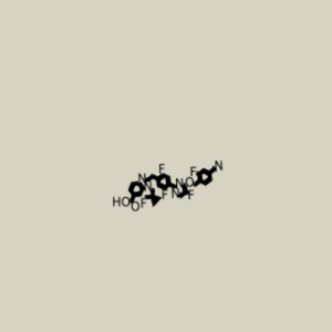 N#Cc1ccc(COc2nc(-c3cc(F)c(Cc4nc5ccc(C(=O)O)cc5n4CC4(CF)CC4)cc3F)ncc2F)c(F)c1